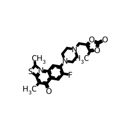 Cc1oc(=O)oc1CN1CCN(c2cc3c(cc2F)c(=O)c(C)c2n3C(C)S2)CC1